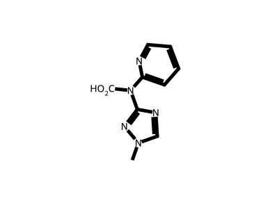 Cn1cnc(N(C(=O)O)c2ccccn2)n1